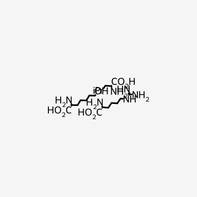 CC(C)C[C@@H](N)C(=O)O.N=C(N)NCCCC[C@@H](N)C(=O)O.NC(CCCCCO)C(=O)O